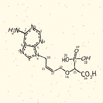 Nc1ncnc2c1ncn2C/C=C\COC(C(=O)O)P(=O)(O)O